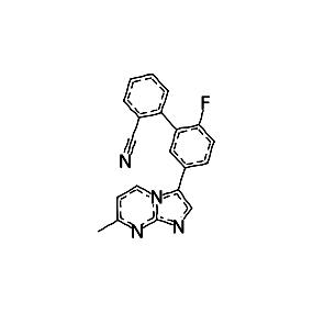 Cc1ccn2c(-c3ccc(F)c(-c4ccccc4C#N)c3)cnc2n1